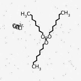 CCCCCCCCOP(OCCCCCCCC)OCCCCCCCC.[Cl-].[Cl-].[Cl-].[Ga+3]